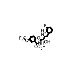 N[C@H](Cc1cccc(F)c1)[C@H](O)C(=O)N[C@@H](C(=O)O)c1cccc(OC(F)(F)F)c1